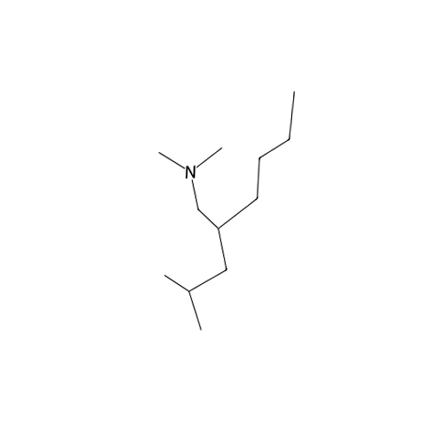 CCCCC(CC(C)C)CN(C)C